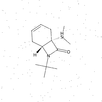 C[SiH](C)[C@@]12CC=CC[C@H]1N(C(C)(C)C)C2=O